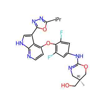 CC(C)c1nnc(-c2c[nH]c3nccc(Oc4c(F)cc(NC5=NC[C@](C)(CO)CO5)cc4F)c23)o1